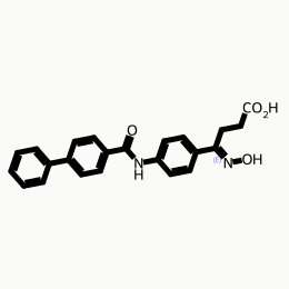 O=C(O)CC/C(=N\O)c1ccc(NC(=O)c2ccc(-c3ccccc3)cc2)cc1